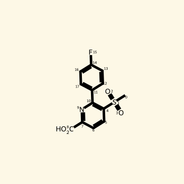 CS(=O)(=O)c1ccc(C(=O)O)nc1-c1ccc(F)cc1